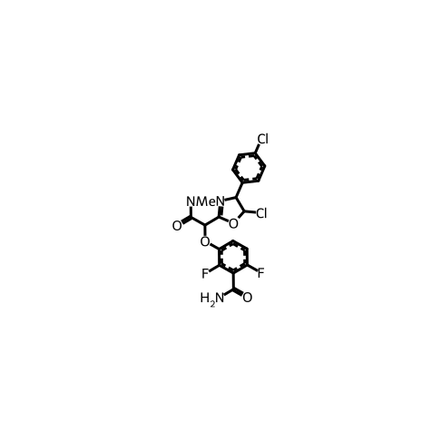 CNC(=O)C(Oc1ccc(F)c(C(N)=O)c1F)C1=NC(c2ccc(Cl)cc2)C(Cl)O1